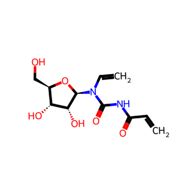 C=CC(=O)NC(=O)N(C=C)[C@@H]1O[C@H](CO)[C@@H](O)[C@H]1O